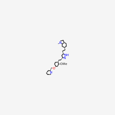 COc1cc(OCc2ccccn2)ccc1C=Cc1cc(C=Cc2ccc3ccn(C)c3c2)[nH]n1